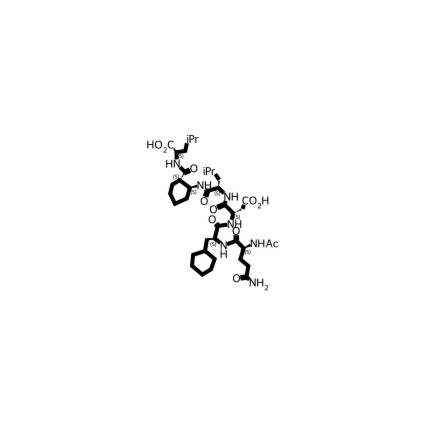 CC(=O)N[C@@H](CCC(N)=O)C(=O)N[C@@H](CC1CCCCC1)C(=O)N[C@@H](CC(=O)O)C(=O)N[C@@H](CC(C)C)C(=O)N[C@H]1CCCC[C@@H]1C(=O)N[C@@H](CC(C)C)C(=O)O